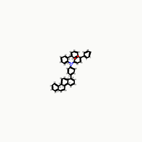 c1ccc(-c2ccc(N(c3ccc(-c4cccc5c4ccc4c6ccccc6ccc54)cc3)c3ccccc3-c3ccccc3)cc2)cc1